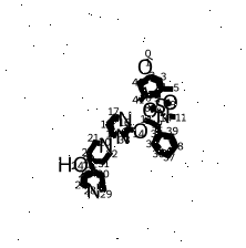 COc1cc(C)c(S(=O)(=O)N(C)C(COc2nccc(N3CCC(O)(c4ccncc4)CC3)n2)c2ccccc2)c(C)c1